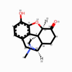 CN1CC[C@]23c4c5ccc(O)c4O[C@H]2C(=O)CCC3[C@H]1C5